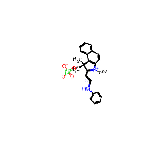 CCCC[N+]1=C(/C=C/Nc2ccccc2)C(C)(C)c2c1ccc1ccccc21.[O-][Cl+3]([O-])([O-])[O-]